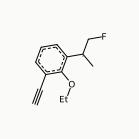 C#Cc1cccc([C](C)CF)c1OCC